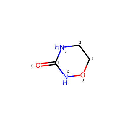 O=C1NCCON1